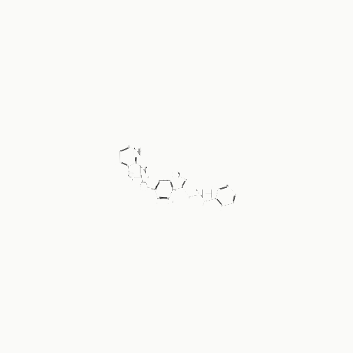 c1ccc(CNCc2coc3cc(Oc4nc5ncccc5s4)ccc23)cc1